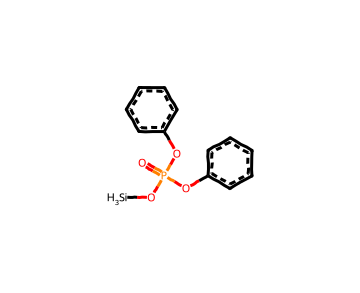 O=P(O[SiH3])(Oc1ccccc1)Oc1ccccc1